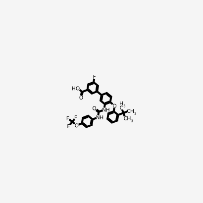 CC(C)(C)c1ccccc1Oc1ccc(-c2cc(F)cc(C(=O)O)c2)cc1NC(=O)Nc1ccc(OC(F)(F)F)cc1